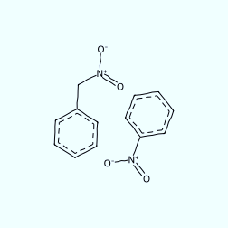 O=[N+]([O-])Cc1ccccc1.O=[N+]([O-])c1ccccc1